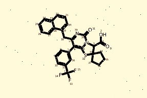 O=C(O)C1n2c(c(-c3cccc(C(F)(F)F)c3)c(Cc3cccc4ccccc34)nc2=O)SC12CCCC2